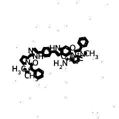 CN(C)[C@H](C(=O)N1CCCC1c1ncc(-c2ccc(-c3cc4cc([N+]5(C(=O)[C@H](c6ccccc6)N(C)C)CCC[C@H]5C(N)=O)ccc4[nH]3)cc2)[nH]1)c1ccccc1